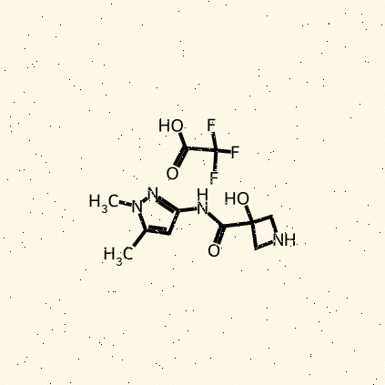 Cc1cc(NC(=O)C2(O)CNC2)nn1C.O=C(O)C(F)(F)F